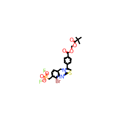 CC(C)(C)C(=O)OCOC(=O)c1ccc(-c2csc(=N)n2Cc2ccc(CP(=O)(OF)OF)c(Br)c2)cc1